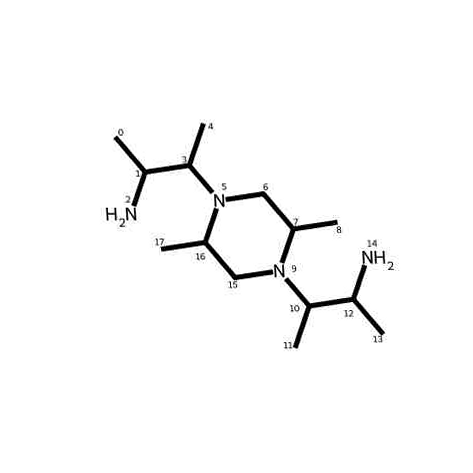 CC(N)C(C)N1CC(C)N(C(C)C(C)N)CC1C